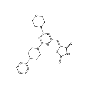 O=C1NC(=O)C(=Cc2cc(N3CCOCC3)nc(N3CCN(c4ccccc4)CC3)n2)S1